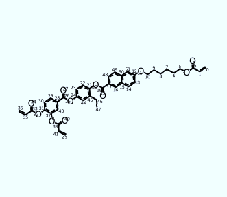 C=CC(=O)OCCCCCCOc1ccc2cc(C(=O)Oc3ccc(OC(=O)c4ccc(OC(=O)C=C)c(OC(=O)C=C)c4)cc3CC)ccc2c1